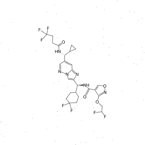 O=C(CCC(F)(F)F)N[C@@H](c1cnn2cc([C@@H](NC(=O)c3conc3OCC(F)F)C3CCC(F)(F)CC3)nc2c1)C1CC1